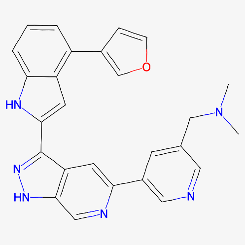 CN(C)Cc1cncc(-c2cc3c(-c4cc5c(-c6ccoc6)cccc5[nH]4)n[nH]c3cn2)c1